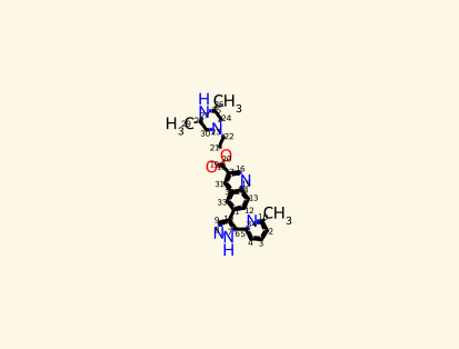 Cc1cccc(-c2[nH]ncc2-c2ccc3ncc(C(=O)OCCN4C[C@@H](C)N[C@@H](C)C4)cc3c2)n1